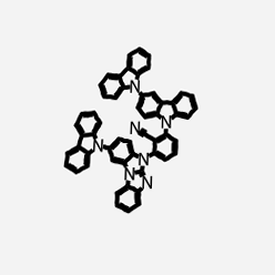 N#Cc1c(-n2c3ccccc3c3cc(-n4c5ccccc5c5ccccc54)ccc32)cccc1-n1c2ccc(-n3c4ccccc4c4ccccc43)cc2n2c3ccccc3nc12